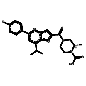 CC(C)c1cc(-c2ccc(F)cc2)nc2cc(C(=O)N3CCN(C(=O)O)[C@@H](C)C3)oc12